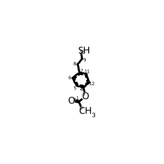 CC(=O)Oc1ccc(CCS)cc1